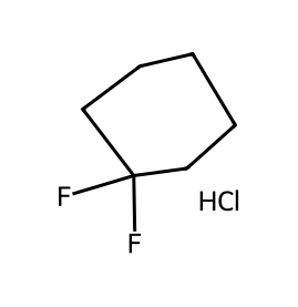 Cl.FC1(F)CCCCC1